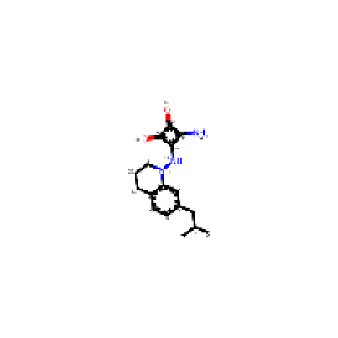 CC(C)Cc1ccc2c(c1)N(Nc1c(N)c(=O)c1=O)CCC2